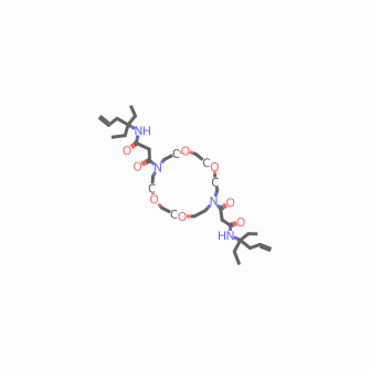 C=CCC(CC)(CC)NC(=O)CC(=O)N1CCOCCOCCN(C(=O)CC(=O)NC(CC)(CC)CC=C)CCOCCOCC1